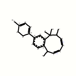 CC1/C=C\C=C/C(C)C(C)(C)c2cc(C3=CC=C(I)CC3)ccc21